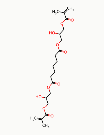 C=C(C)C(=O)OCC(O)COC(=O)CCCCCC(=O)OCC(O)COC(=O)C(=C)C